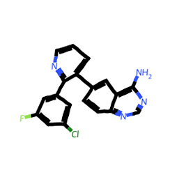 Nc1ncnc2ccc(-c3cccnc3-c3cc(F)cc(Cl)c3)cc12